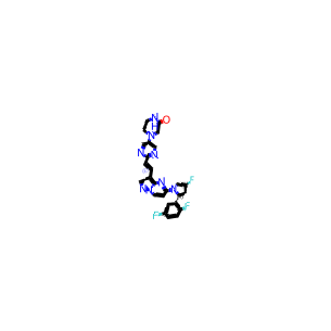 O=C1CN(c2cnc(/C=C/c3cnn4ccc(N5C[C@@H](F)C[C@@H]5c5cc(F)ccc5F)nc34)nc2)CCN1